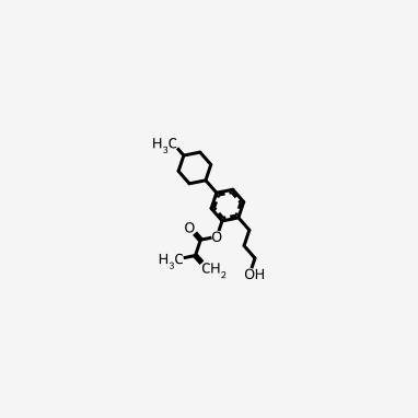 C=C(C)C(=O)Oc1cc(C2CCC(C)CC2)ccc1CCCO